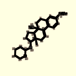 COc1ccc2c(c1)CC[C@]1(C#N)C2=CC[C@@]2(C)C1CC[C@@H]2OC1CCCCO1